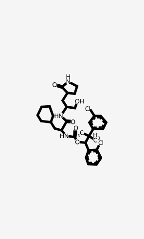 CC(C)(c1cccc(Cl)c1)C(OC(=O)NC(CC1CCCCC1)C(=O)NC(CO)CC1CCNC1=O)c1ccccc1Cl